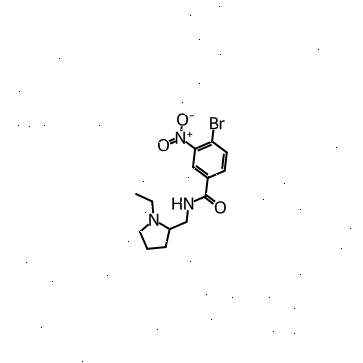 CCN1CCCC1CNC(=O)c1ccc(Br)c([N+](=O)[O-])c1